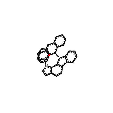 c1ccc(-n2ccc3ccc4c5ccccc5n(-c5c6ccccc6cc6ccccc56)c4c32)cc1